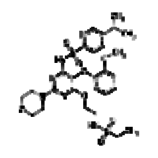 CCS(=O)(=O)NCCOc1nc(N2CCOCC2)nc(NS(=O)(=O)c2ccc(C(C)C)cn2)c1Oc1ccccc1OC